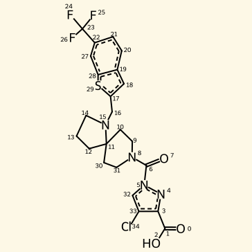 O=C(O)c1nn(C(=O)N2CCC3(CCCN3Cc3cc4ccc(C(F)(F)F)cc4s3)CC2)cc1Cl